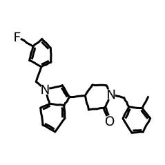 Cc1ccccc1CN1CCC(c2cn(Cc3cccc(F)c3)c3ccccc23)CC1=O